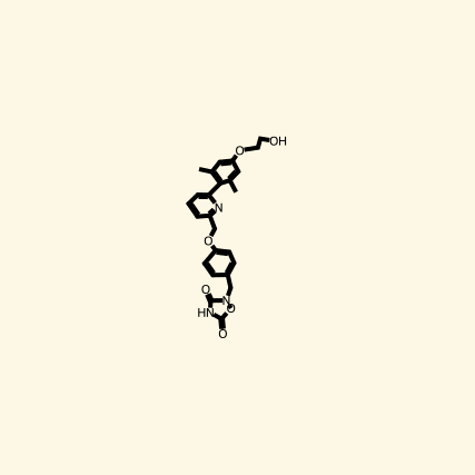 Cc1cc(OCCO)cc(C)c1-c1cccc(COc2ccc(Cn3oc(=O)[nH]c3=O)cc2)n1